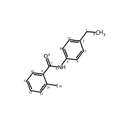 CCc1ccc(NC(=O)c2ccccc2I)cc1